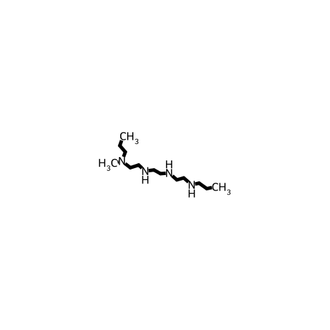 CCCNCCNCCNCCN(C)CCC